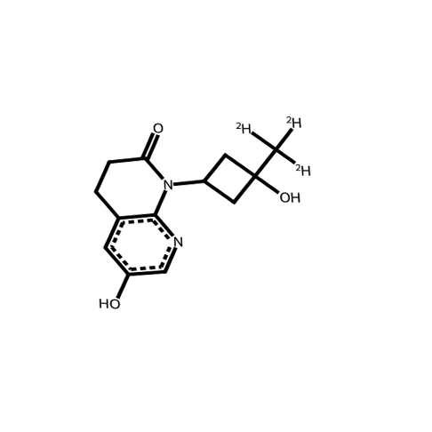 [2H]C([2H])([2H])C1(O)CC(N2C(=O)CCc3cc(O)cnc32)C1